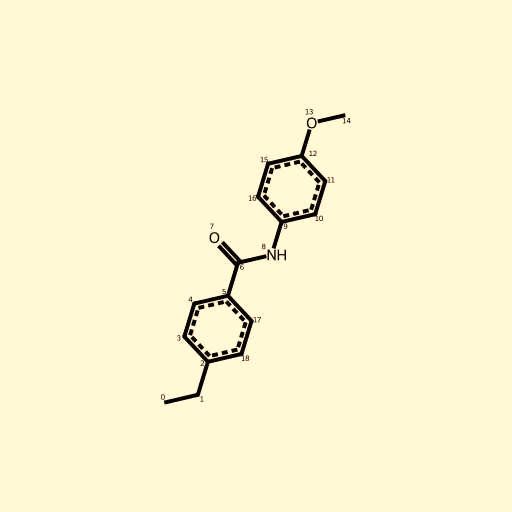 CCc1ccc(C(=O)Nc2ccc(OC)cc2)cc1